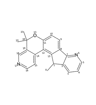 CC1c2cccnc2-c2ccc3c(c21)-c1ccncc1C(C)(C)O3